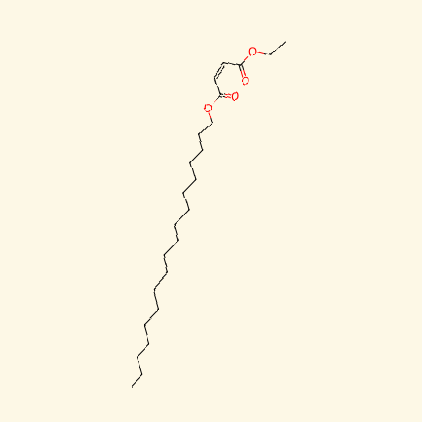 CCCCCCCCCCCCCCCCCCOC(=O)/C=C\C(=O)OCC